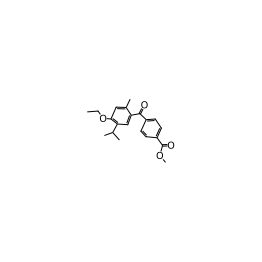 CCOc1cc(C)c(C(=O)c2ccc(C(=O)OC)cc2)cc1C(C)C